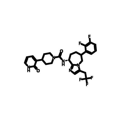 O=C(N[C@@H]1CCC(c2cccc(F)c2F)Cn2c(CC(F)(F)F)cnc21)N1CCC(c2ccc[nH]c2=O)CC1